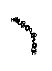 FC(F)(F)Sc1ccc(C=Cc2nc(COc3ccc(-c4nc(Cc5c[nH]nn5)co4)cc3)co2)cc1